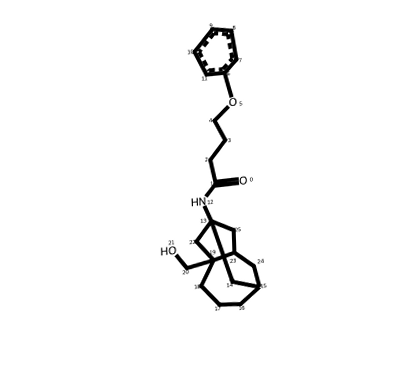 O=C(CCCOc1ccccc1)NC12CC3CCCC(CO)(C1)C(C3)C2